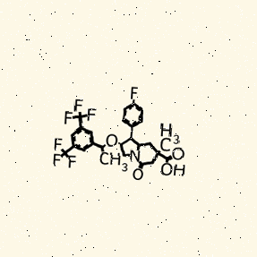 CC(O[C@H]1CN2C(=O)CC(C)(C(=O)O)CC2C1c1ccc(F)cc1)c1cc(C(F)(F)F)cc(C(F)(F)F)c1